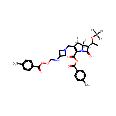 CC[Si](CC)(CC)OC(C)[C@H]1C(=O)N2C(C(=O)OC(=O)c3ccc([N+](=O)[O-])cc3)=C(CN3CC(NCOOC(=O)c4ccc([N+](=O)[O-])cc4)C3)[C@H](C)[C@H]12